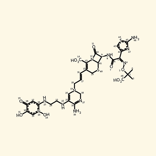 CC(C)(O/N=C(\C(=O)N[C@@H]1C(=O)N2C(C(=O)O)=C(/C=C/CN3C=C(NCCNc4cc(=O)c(O)cn4O)C(N)=NC3)CSC12)c1csc(N)n1)C(=O)O